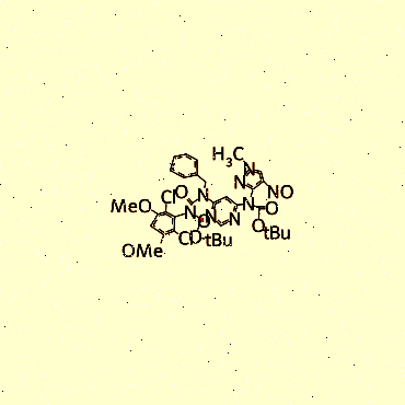 COc1cc(OC)c(Cl)c(N(C(=O)OC(C)(C)C)C(=O)N(Cc2ccccc2)c2cc(N(C(=O)OC(C)(C)C)c3nn(C)cc3N=O)ncn2)c1Cl